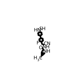 C[C@@H]1C2C3CC(C(C(=O)N[C@H](C#N)Cc4ccc(-c5ccc(NS)cc5)cc4F)N3)C21